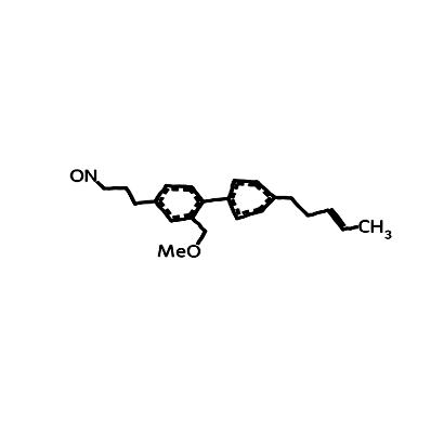 C/C=C/CCc1ccc(-c2ccc(CCCN=O)cc2COC)cc1